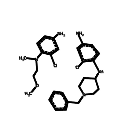 COCCN(C)c1ccc(N)cc1Cl.Nc1ccc(NC2CCN(Cc3ccccc3)CC2)c(Cl)c1